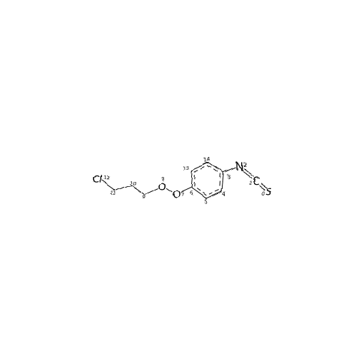 S=C=Nc1ccc(OOCCCCl)cc1